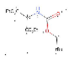 CCOC(=O)C(NC(=O)OCC(C)(C)C)C(=O)OCC